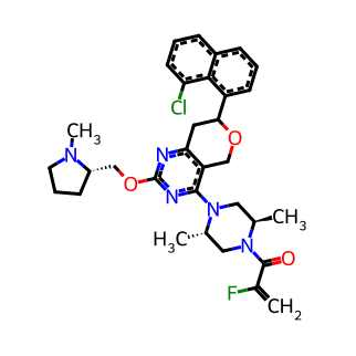 C=C(F)C(=O)N1C[C@H](C)N(c2nc(OC[C@@H]3CCCN3C)nc3c2COC(c2cccc4cccc(Cl)c24)C3)C[C@H]1C